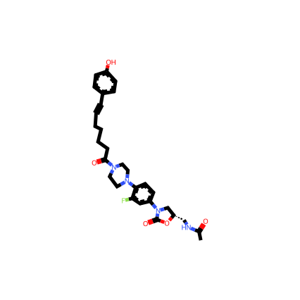 CC(=O)NC[C@H]1CN(c2ccc(N3CCN(C(=O)CCCCC#Cc4ccc(O)cc4)CC3)c(F)c2)C(=O)O1